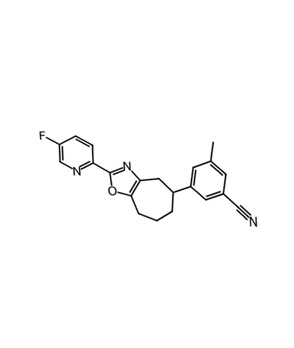 Cc1cc(C#N)cc(C2CCCc3oc(-c4ccc(F)cn4)nc3C2)c1